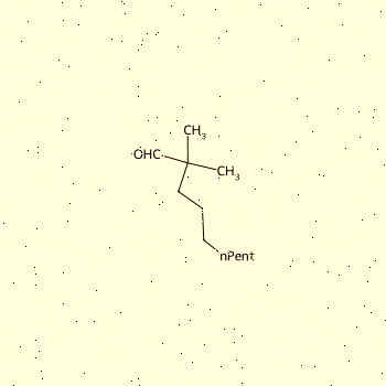 CCCCCCCCC(C)(C)[C]=O